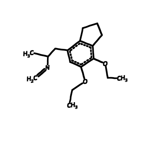 C=NC(C)Cc1cc(OCC)c(OCC)c2c1CCC2